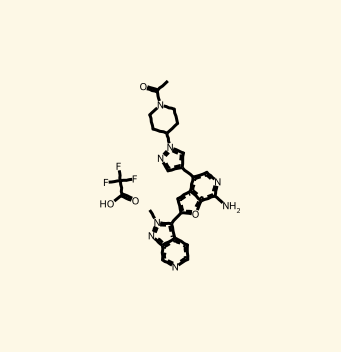 CC(=O)N1CCC(n2cc(-c3cnc(N)c4oc(-c5c6ccncc6nn5C)cc34)cn2)CC1.O=C(O)C(F)(F)F